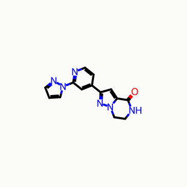 O=C1NCCn2nc(-c3ccnc(-n4cccn4)c3)cc21